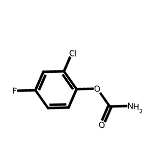 NC(=O)Oc1ccc(F)cc1Cl